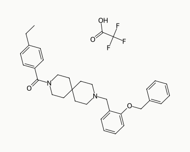 CCc1ccc(C(=O)N2CCC3(CCN(Cc4ccccc4OCc4ccccc4)CC3)CC2)cc1.O=C(O)C(F)(F)F